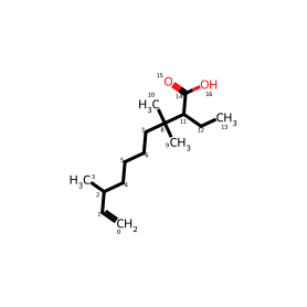 C=CC(C)CCCCC(C)(C)C(CC)C(=O)O